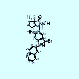 CNC(=O)[C@@]1(C)CC[C@@H](Nc2ncc3c(Br)nn(-c4ccc5ncccc5c4)c3n2)C1